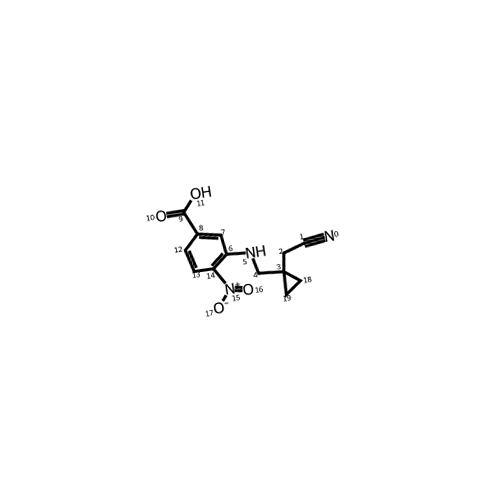 N#CCC1(CNc2cc(C(=O)O)ccc2[N+](=O)[O-])CC1